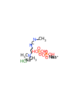 CCN=C=NCCCN(C)C.Cl.O=P([O-])(O)O.O=P([O-])([O-])O.[Na+].[Na+].[Na+]